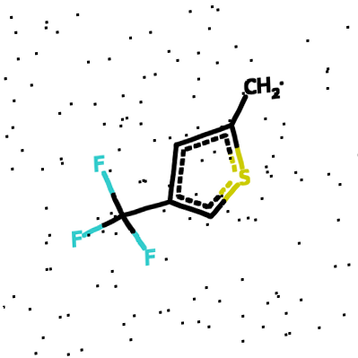 [CH2]c1cc(C(F)(F)F)cs1